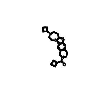 O=C(C1CCC1)N1CCc2cc3nc4n(c3cc2C1)CCN(C1CCC1)CC4